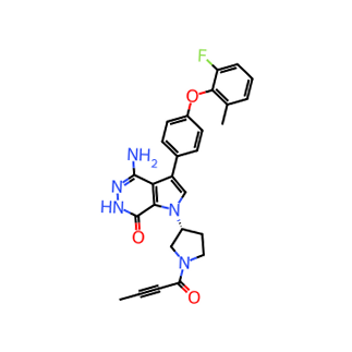 CC#CC(=O)N1CC[C@@H](n2cc(-c3ccc(Oc4c(C)cccc4F)cc3)c3c(N)n[nH]c(=O)c32)C1